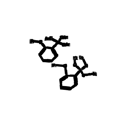 CC(=O)O[Si](OC(C)=O)(OC(C)=O)c1ccccc1OC(C)C.CCO[Si](OCC)(OCC)c1ccccc1OC(C)C